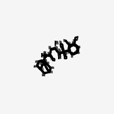 Cc1c(Cl)cccc1S(=O)(=O)N[C@@H](C)CC(=O)NC1C2CC3CC(C2)CC1C3